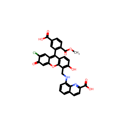 COC(=O)c1ccc(C(=O)O)cc1-c1c2cc(Cl)c(=O)cc-2oc2c(CNc3cccc4ccc(C(=O)O)nc34)c(O)ccc12